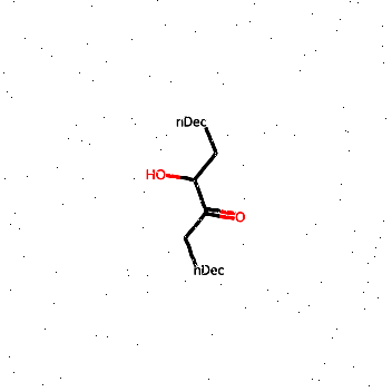 CCCCCCCCCCCC(=O)C(O)CCCCCCCCCCC